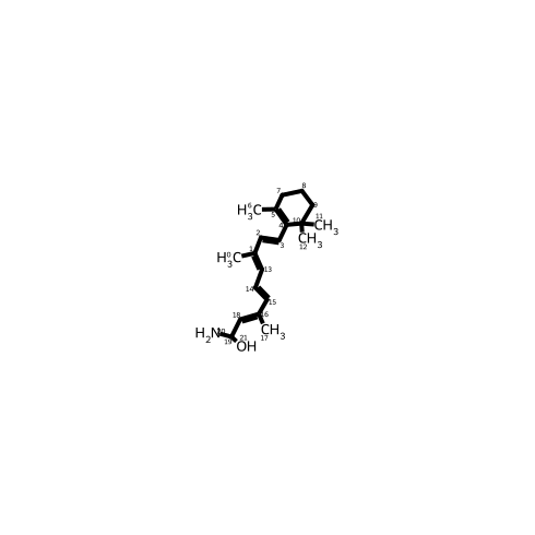 CC(C=CC1=C(C)CCCC1(C)C)=CC=CC(C)=CC(N)O